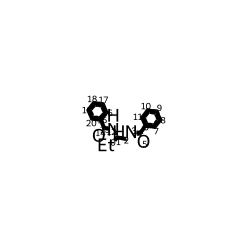 [CH2]CC(CNC(=O)c1ccccc1)NC(=O)c1ccccc1